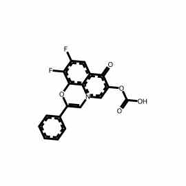 O=C(O)Oc1cn2c3c(c(F)c(F)cc3c1=O)OC(c1ccccc1)=C2